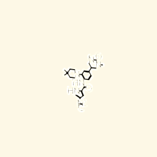 [C-]#[N+]c1c[nH]c(C(=O)Nc2ccc(C3CN(C)C(=O)N(C)C3)cc2N2CCC(C)(C)CC2)c1